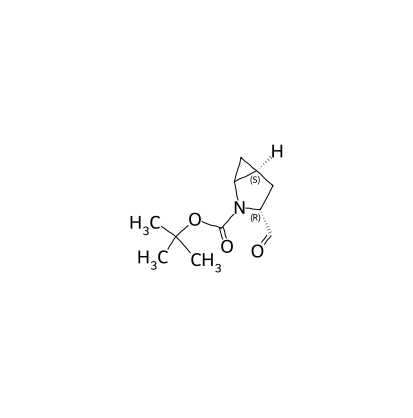 CC(C)(C)OC(=O)N1C2C[C@H]2C[C@@H]1C=O